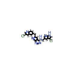 Clc1cnc2ccc(Cc3cc4c(NCc5cnc6[nH]cc(Cl)c6c5)ncnc4cn3)cc2c1